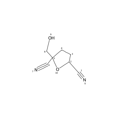 N#CC1CCC(C#N)(CO)O1